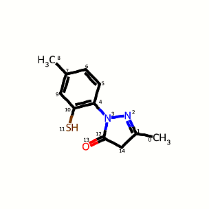 CC1=NN(c2ccc(C)cc2S)C(=O)C1